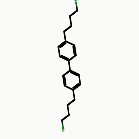 FCCCCc1ccc(-c2ccc(CCCCF)cc2)cc1